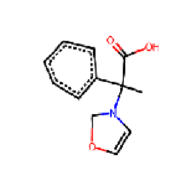 CC(C(=O)O)(c1ccccc1)N1C=COC1